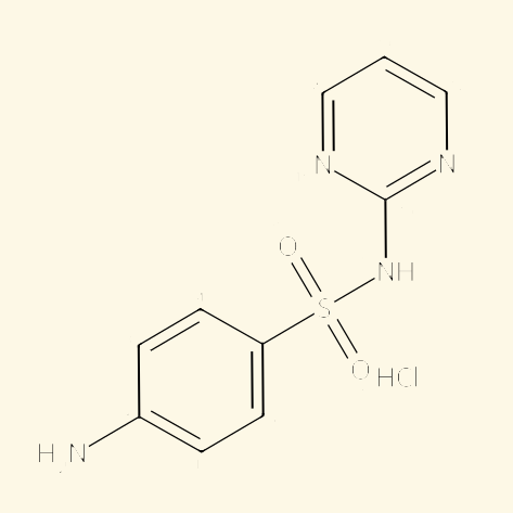 Cl.Nc1ccc(S(=O)(=O)Nc2ncccn2)cc1